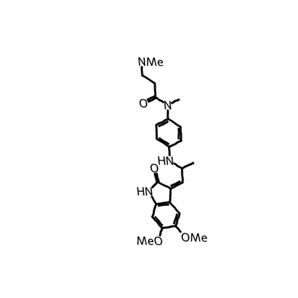 CNCCC(=O)N(C)c1ccc(NC(C)C=C2C(=O)Nc3cc(OC)c(OC)cc32)cc1